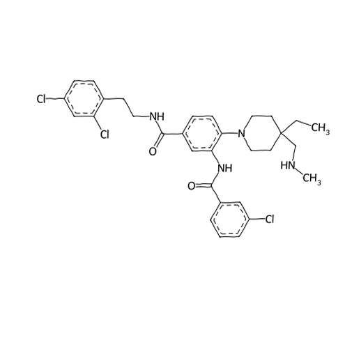 CCC1(CNC)CCN(c2ccc(C(=O)NCCc3ccc(Cl)cc3Cl)cc2NC(=O)c2cccc(Cl)c2)CC1